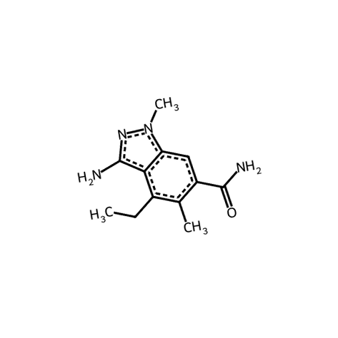 CCc1c(C)c(C(N)=O)cc2c1c(N)nn2C